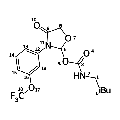 CCC(C)CNC(=O)OC1OCC(=O)N1c1cccc(OC(F)(F)F)c1